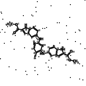 COC(=O)c1cc2cc(Nc3ncc(F)c(Nc4ccc5[nH]c(C(=O)OC)cc5c4)n3)ccc2[nH]1